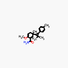 COC1=CCC(C)(C2C(c3ccc(C)cc3)C2(C)C)C=C1C(N)=O